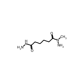 CN(N)C(=O)CCCCC(=O)NN